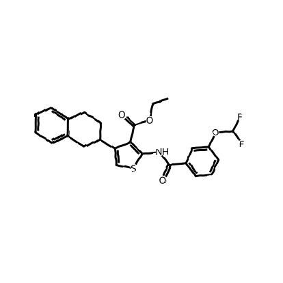 CCOC(=O)c1c(C2CCc3ccccc3C2)csc1NC(=O)c1cccc(OC(F)F)c1